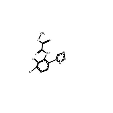 COC(=O)C(=O)Nc1c(-n2cnnn2)ccc(Cl)c1Cl